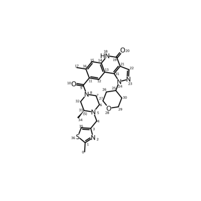 Cc1nc(CN2CCN(C(=O)c3cc4c(cc3C)[nH]c(=O)c3cnn(C5CCOCC5)c34)C[C@@H]2C)cs1